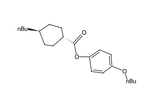 CCCCOc1ccc(OC(=O)[C@H]2CC[C@H](CCCC)CC2)cc1